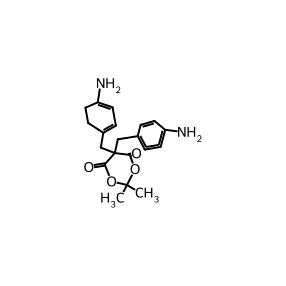 CC1(C)OC(=O)C(CC2=C=C=C(N)C=C2)(CC2=CC=C(N)CC2)C(=O)O1